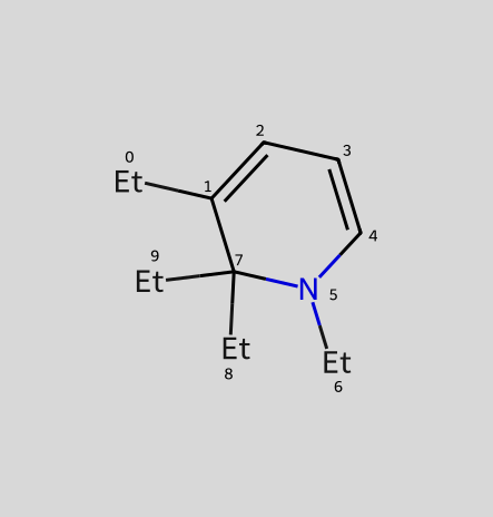 CCC1=CC=CN(CC)C1(CC)CC